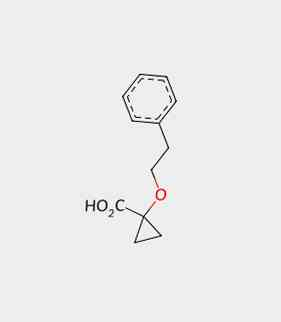 O=C(O)C1(OCCc2ccccc2)CC1